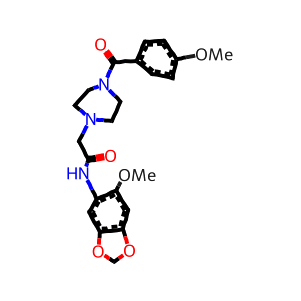 COc1ccc(C(=O)N2CCN(CC(=O)Nc3cc4c(cc3OC)OCO4)CC2)cc1